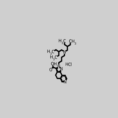 CCC(CC)CN(CCCCn1nc2c(c1C(=O)O)CCc1cnccc1-2)CC(CC)CC.Cl